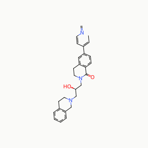 C=N/C=C\C(=C/C)c1ccc2c(c1)CCN(C[C@H](O)CN1CCc3ccccc3C1)C2=O